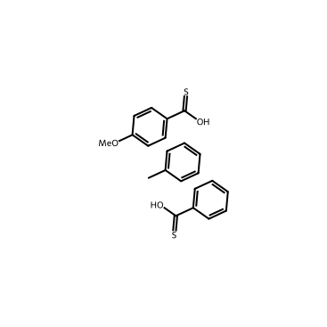 COc1ccc(C(O)=S)cc1.Cc1ccccc1.OC(=S)c1ccccc1